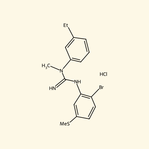 CCc1cccc(N(C)C(=N)Nc2cc(SC)ccc2Br)c1.Cl